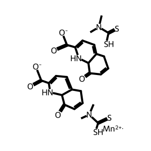 CN(C)C(=S)S.CN(C)C(=S)S.O=C([O-])C1=CC=C2CC=CC(=O)C2N1.O=C([O-])C1=CC=C2CC=CC(=O)C2N1.[Mn+2]